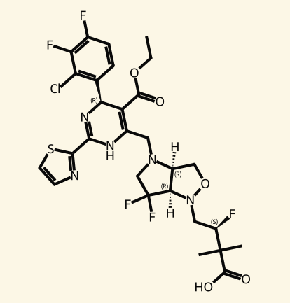 CCOC(=O)C1=C(CN2CC(F)(F)[C@H]3[C@@H]2CON3C[C@@H](F)C(C)(C)C(=O)O)NC(c2nccs2)=N[C@H]1c1ccc(F)c(F)c1Cl